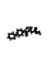 NC(=O)CC(N)C(=O)CN1CCN(C2CCCCC2)CC1